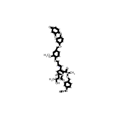 COc1cc(COc2ccc3nc4ccc(=O)cc-4oc3c2)ccc1OC/C=C/C1=C(C(=O)N(C)OCc2ccc(N=[N+]=[N-])cc2)N2C(=O)[C@H]([C@@H](C)O)[C@H]2C1